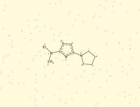 CCN(C)c1nc(N2CCCC2)cs1